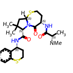 CN[C@@H](C)C(=O)N[C@H]1CCS[C@H]2CC(C)(C)[C@@H](C(=O)N[C@@H]3CCSc4ccccc43)N2C1=O